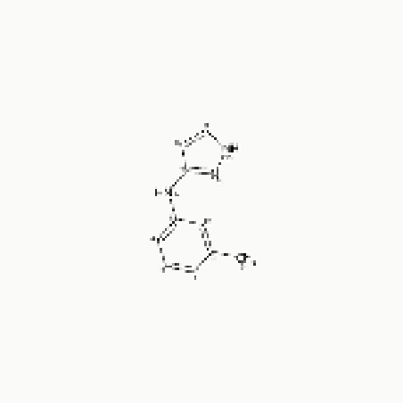 FC(F)(F)c1cccc(Nc2cc[nH]n2)c1